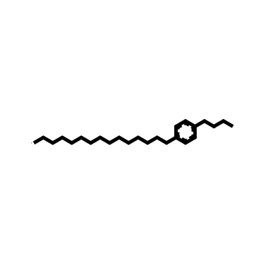 [CH2]CCCCCCCCCCCCCCc1ccc(CCCC)cc1